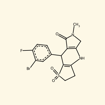 CN1CC2=C(C1=O)C(c1ccc(F)c(Br)c1)C1=C(CCS1(=O)=O)N2